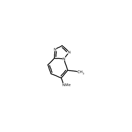 CNc1ccc2ncnn2c1C